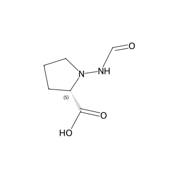 O=CNN1CCC[C@H]1C(=O)O